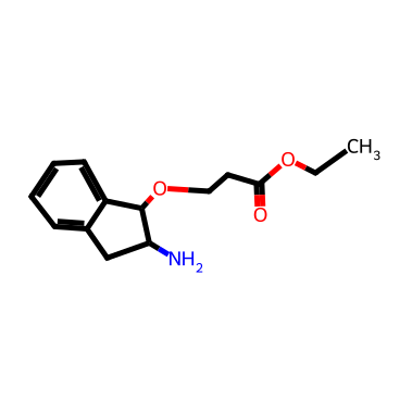 CCOC(=O)CCOC1c2ccccc2CC1N